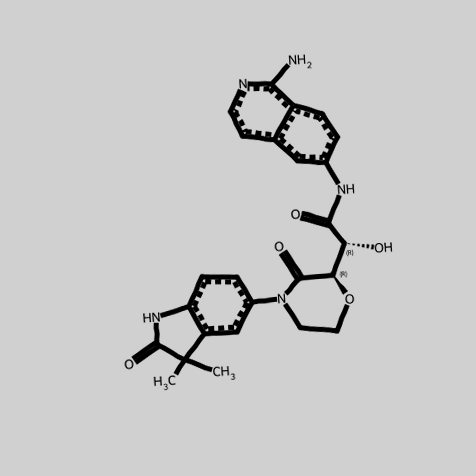 CC1(C)C(=O)Nc2ccc(N3CCO[C@H]([C@@H](O)C(=O)Nc4ccc5c(N)nccc5c4)C3=O)cc21